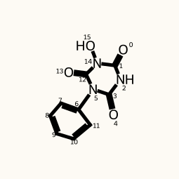 O=c1[nH]c(=O)n(-c2ccccc2)c(=O)n1O